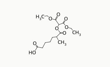 CCOC(=O)C(OC(=O)C(C)CCCCC(=O)O)C(=O)OCC